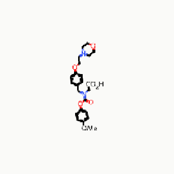 COc1ccc(OC(=O)N(CC(=O)O)Cc2ccc(OCCN3CCOCC3)cc2)cc1